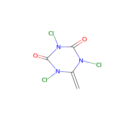 C=C1N(Cl)C(=O)N(Cl)C(=O)N1Cl